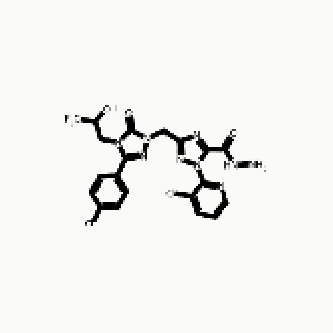 NNC(=O)c1nc(Cn2nc(-c3ccc(Cl)cc3)n(CC(O)C(F)(F)F)c2=O)nn1-c1ncccc1Cl